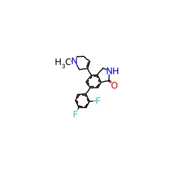 CN1CCC=C(c2cc(-c3ccc(F)cc3F)cc3c2CNC3=O)C1